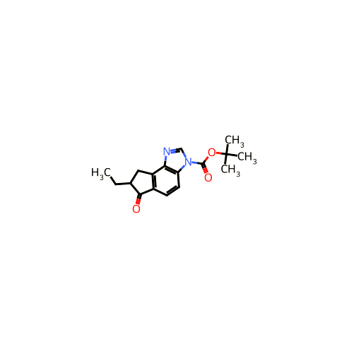 CCC1Cc2c(ccc3c2ncn3C(=O)OC(C)(C)C)C1=O